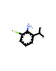 CC(C)c1cccc(F)c1N